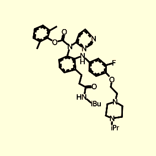 CCC(C)NC(=O)CCc1cccc(N(C(=O)Oc2c(C)cccc2C)c2ccncn2)c1Nc1ccc(OCCN2CCN(C(C)C)CC2)c(F)c1